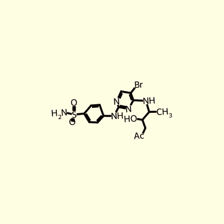 CC(=O)CC(O)C(C)Nc1nc(Nc2ccc(S(N)(=O)=O)cc2)ncc1Br